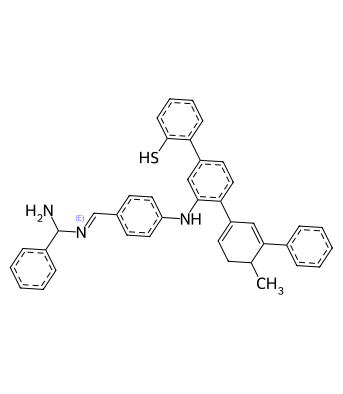 CC1CC=C(c2ccc(-c3ccccc3S)cc2Nc2ccc(/C=N/C(N)c3ccccc3)cc2)C=C1c1ccccc1